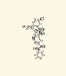 COc1ccc(Cl)cc1S(=O)(=O)Nc1cncc(C(=O)Nc2ccccc2)c1